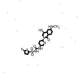 CNc1ccc2c(=O)n(-c3ccc(NC(=O)NS(=O)(=O)c4ccc(F)s4)cn3)cc(S)c2c1